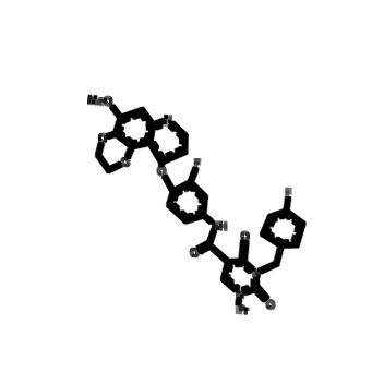 COc1cc2nccc(Oc3ccc(NC(=O)c4cn(C(C)C)c(=O)n(Cc5ccc(F)cc5)c4=O)cc3F)c2c2c1OCCO2